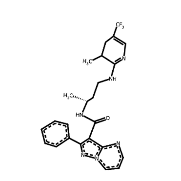 CC1CC(C(F)(F)F)=CN=C1NCC[C@@H](C)NC(=O)c1c(-c2ccccc2)nn2cccnc12